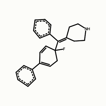 FC1(C(=C2CCNCC2)c2ccccc2)C=CC(c2ccccc2)=CC1